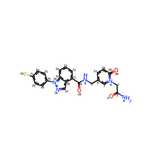 NC(=O)Cn1cc(CNC(=O)c2cccc3c2cnn3-c2ccc(F)cc2)ccc1=O